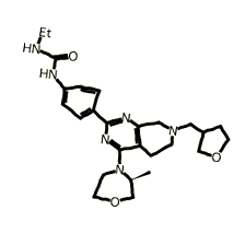 CCNC(=O)Nc1ccc(-c2nc3c(c(N4CCOC[C@@H]4C)n2)CCN(CC2CCOC2)C3)cc1